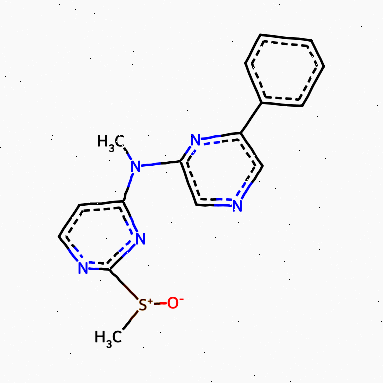 CN(c1cncc(-c2ccccc2)n1)c1ccnc([S+](C)[O-])n1